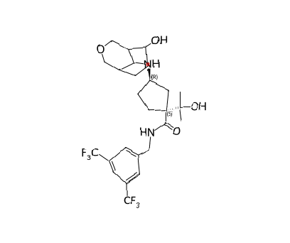 CC(C)(O)[C@]1(C(=O)NCc2cc(C(F)(F)F)cc(C(F)(F)F)c2)CC[C@@H](NC2C3CCC(O)C2COC3)C1